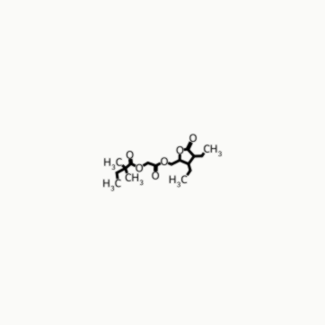 CCC1C(=O)OC(COC(=O)COC(=O)C(C)(C)CC)C1CC